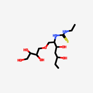 CCNC(=S)NC(COCC(O)C(O)CO)C(O)CC(O)CC